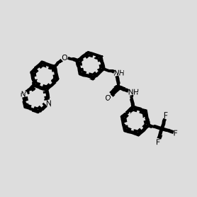 O=C(Nc1ccc(Oc2ccc3nccnc3c2)cc1)Nc1cccc(C(F)(F)F)c1